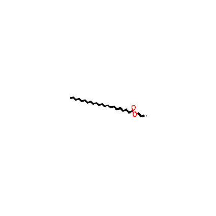 [CH2]CCOC(=O)CCCCCCCCCCCCCCCCCCCCC